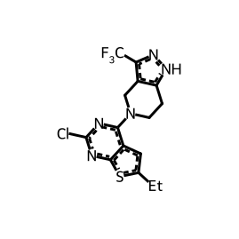 CCc1cc2c(N3CCc4[nH]nc(C(F)(F)F)c4C3)nc(Cl)nc2s1